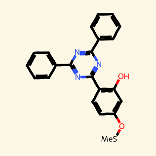 CSOc1ccc(-c2nc(-c3ccccc3)nc(-c3ccccc3)n2)c(O)c1